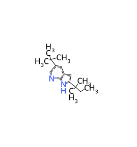 CCC(C)(C)c1cc2cc(C(C)(C)C)cnc2[nH]1